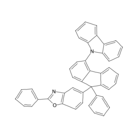 c1ccc(-c2nc3cc(C4(c5ccccc5)c5ccccc5-c5c(-n6c7ccccc7c7ccccc76)cccc54)ccc3o2)cc1